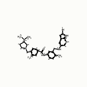 CC(=O)c1cc2cc(NCc3cc(NC(=O)c4ccc(CN5CCC(N(C)C)C5)c(C(F)(F)F)c4)ccc3C)cnc2[nH]1